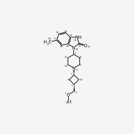 CCOC[C@H]1C[C@@H](N2CCC(n3c(=O)[nH]c4ccc(C)cc43)CC2)C1